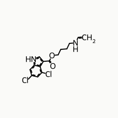 C=CNCCCCOC(=O)c1c[nH]c2cc(Cl)cc(Cl)c12